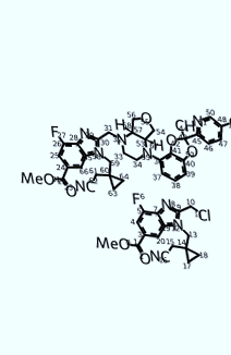 COC(=O)c1cc(F)c2nc(CCl)n(CC3(CC#N)CC3)c2c1.COC(=O)c1cc(F)c2nc(CN3CCN(c4cccc5c4O[C@](C)(c4ccc(Cl)cn4)O5)[C@H]4COC[C@H]43)n(CC3(CC#N)CC3)c2c1